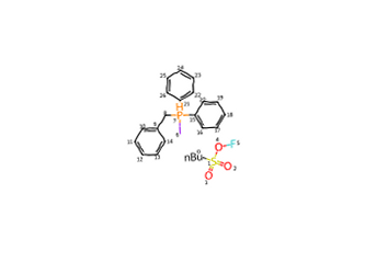 CCCCS(=O)(=O)OF.I[PH](Cc1ccccc1)(c1ccccc1)c1ccccc1